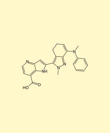 CN(C1=CCCc2c1nn(C)c2-c1cc2nccc(C(=O)O)c2[nH]1)c1ccccc1